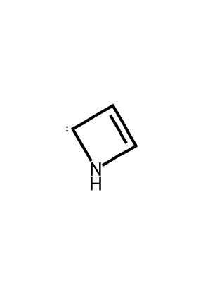 [C]1C=CN1